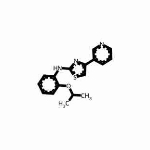 CC(C)Oc1ccccc1Nc1nc(-c2cccnc2)cs1